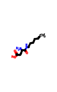 CCCCCCNC(=O)C(N)CC(=O)O